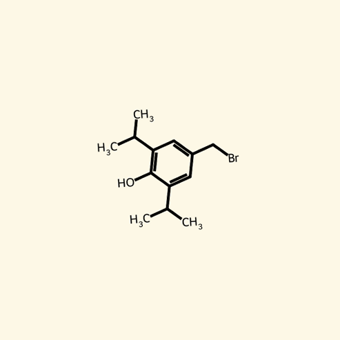 CC(C)c1cc(CBr)cc(C(C)C)c1O